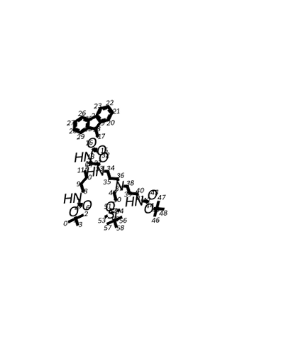 CC(C)(C)OC(=O)NCCCC[C@H](NC(=O)OCC1c2ccccc2-c2ccccc21)C(=O)NCCCN(CCCNC(=O)OC(C)(C)C)CCO[Si](C)(C)C(C)(C)C